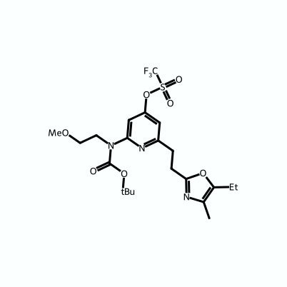 CCc1oc(CCc2cc(OS(=O)(=O)C(F)(F)F)cc(N(CCOC)C(=O)OC(C)(C)C)n2)nc1C